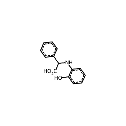 O=C(O)C(Nc1ccccc1O)c1ccccc1